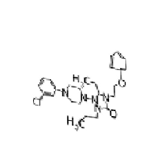 CCCN1C(=O)N(CCOc2ccccc2)C(CC)N1N1CCN(c2cccc(Cl)c2)CC1